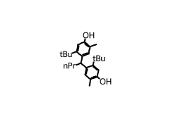 CCCC(c1cc(C)c(O)cc1C(C)(C)C)c1cc(C)c(O)cc1C(C)(C)C